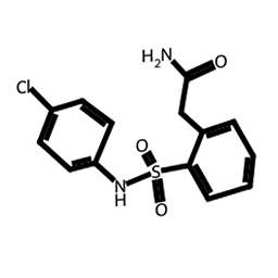 NC(=O)Cc1ccccc1S(=O)(=O)Nc1ccc(Cl)cc1